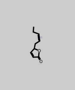 CC/C=C\CC1C=CC(=O)O1